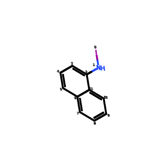 INc1cccc2ccccc12